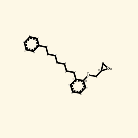 c1ccc(CCCCCCCc2ccccc2OCC2CO2)cc1